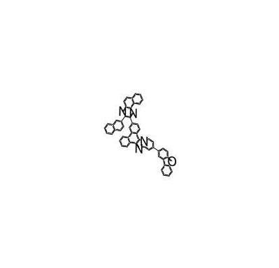 c1ccc2cc(-c3nc4ccc5ccccc5c4nc3-c3ccc4c(c3)c3ccccc3c3nc5cc(-c6ccc7oc8ccccc8c7c6)ccn5c43)ccc2c1